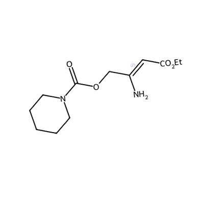 CCOC(=O)/C=C(\N)COC(=O)N1CCCCC1